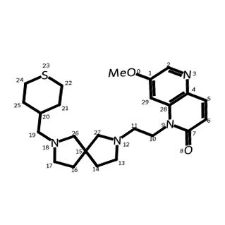 COc1cnc2ccc(=O)n(CCN3CCC4(CCN(CC5CCSCC5)C4)C3)c2c1